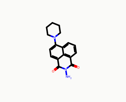 NN1C(=O)c2cccc3c(N4CCCCC4)ccc(c23)C1=O